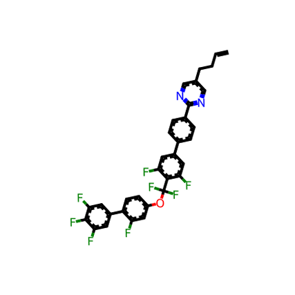 C=CCCc1cnc(-c2ccc(-c3cc(F)c(C(F)(F)Oc4ccc(-c5cc(F)c(F)c(F)c5)c(F)c4)c(F)c3)cc2)nc1